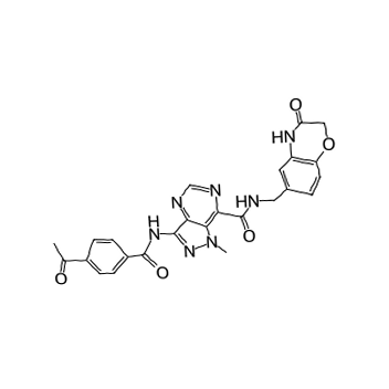 CC(=O)c1ccc(C(=O)Nc2nn(C)c3c(C(=O)NCc4ccc5c(c4)NC(=O)CO5)ncnc23)cc1